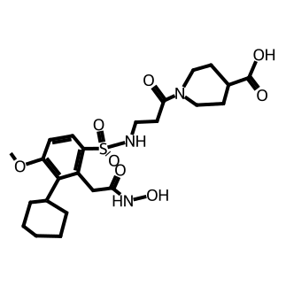 COc1ccc(S(=O)(=O)NCCC(=O)N2CCC(C(=O)O)CC2)c(CC(=O)NO)c1C1CCCCC1